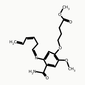 C=C/C=C\C/C=N\c1cc(OCCCC(=O)OC)c(OC)cc1C(N)=O